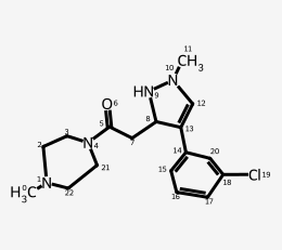 CN1CCN(C(=O)CC2NN(C)C=C2c2cccc(Cl)c2)CC1